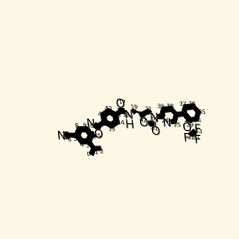 CC(C)c1cc(C#N)cc2nc(-c3ccc(C(=O)NC[C@H]4CN(C5=NCC(C6=C(OC(F)(F)F)CCC=C6)C=C5)C(=O)O4)cc3)oc12